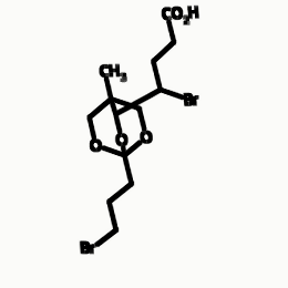 CC12COC(CCCBr)(OC1)OC2C(Br)CCC(=O)O